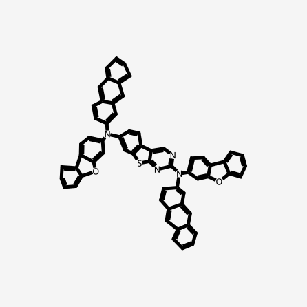 c1ccc2cc3cc(N(c4ccc5c(c4)oc4ccccc45)c4ccc5c(c4)sc4nc(N(c6ccc7cc8ccccc8cc7c6)c6ccc7c(c6)oc6ccccc67)ncc45)ccc3cc2c1